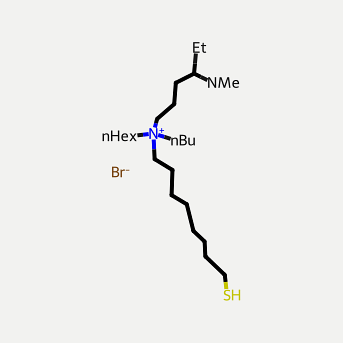 CCCCCC[N+](CCCC)(CCCCCCCCS)CCCC(CC)NC.[Br-]